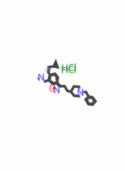 CN(C)Cc1c(/C=C\C2CC2)ccc2c(CCC3CCN(Cc4ccccc4)CC3)noc12.Cl.Cl